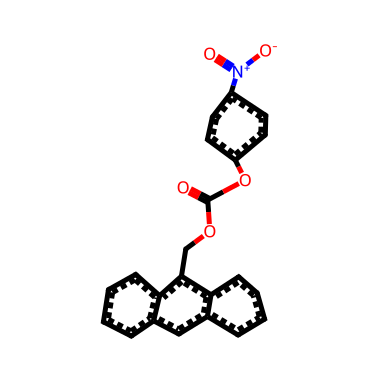 O=C(OCc1c2ccccc2cc2ccccc12)Oc1ccc([N+](=O)[O-])cc1